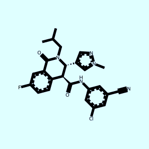 CC(C)CN1C(=O)c2cc(F)ccc2[C@H](C(=O)Nc2cc(Cl)cc(C#N)c2)[C@H]1c1cnn(C)c1